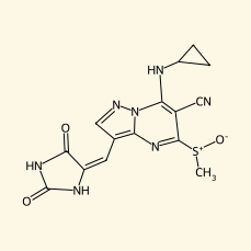 C[S+]([O-])c1nc2c(C=C3NC(=O)NC3=O)cnn2c(NC2CC2)c1C#N